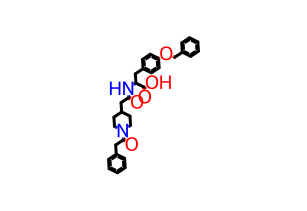 O=C(CC1CCN(C(=O)Cc2ccccc2)CC1)NC(Cc1ccc(OCc2ccccc2)cc1)C(=O)O